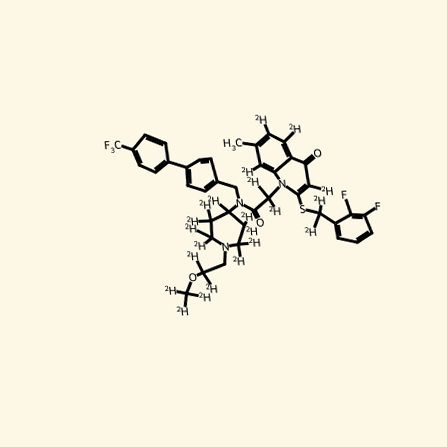 [2H]c1c(C)c([2H])c2c(c1[2H])c(=O)c([2H])c(SC([2H])([2H])c1cccc(F)c1F)n2C([2H])([2H])C(=O)N(Cc1ccc(-c2ccc(C(F)(F)F)cc2)cc1)C1([2H])C([2H])([2H])C([2H])([2H])N(CC([2H])([2H])OC([2H])([2H])[2H])C([2H])([2H])C1([2H])[2H]